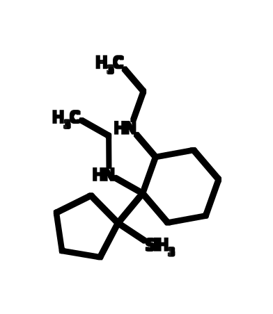 CCNC1CCCCC1(NCC)C1([SiH3])CCCC1